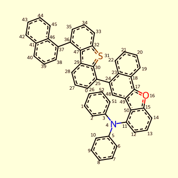 c1ccc(N(c2ccccc2)c2cccc3oc4c5ccccc5c(-c5cccc6c5sc5cccc(-c7cccc8ccccc78)c56)cc4c23)cc1